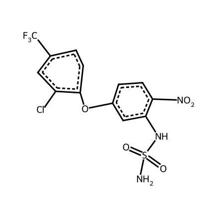 NS(=O)(=O)Nc1cc(Oc2ccc(C(F)(F)F)cc2Cl)ccc1[N+](=O)[O-]